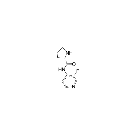 O=C(Nc1ccncc1F)[C@@H]1CCCN1